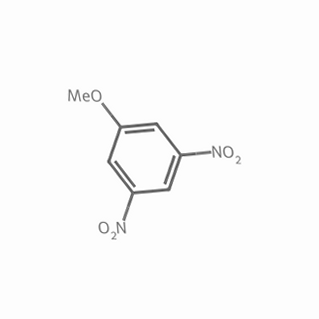 COc1cc([N+](=O)[O-])cc([N+](=O)[O-])c1